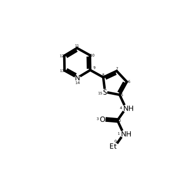 CCNC(=O)Nc1ccc(-c2ccccn2)s1